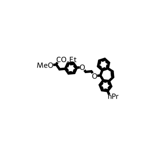 CCCc1ccc2c(c1)C=Cc1ccccc1C2OCCOc1ccc(CC(OC)C(=O)OCC)cc1